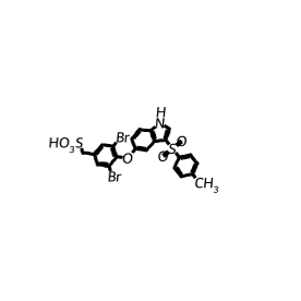 Cc1ccc(S(=O)(=O)c2c[nH]c3ccc(Oc4c(Br)cc(CS(=O)(=O)O)cc4Br)cc23)cc1